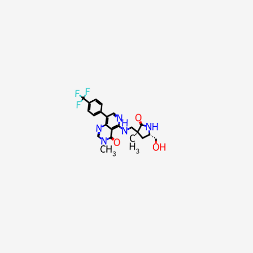 Cn1cnc2c(-c3ccc(C(F)(F)F)cc3)cnc(NC[C@]3(C)C[C@@H](CO)NC3=O)c2c1=O